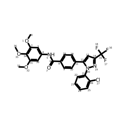 COc1cc(NC(=O)c2ccc(-c3cc(C(F)(F)F)nn3-c3ccccc3Cl)cc2)cc(OC)c1OC